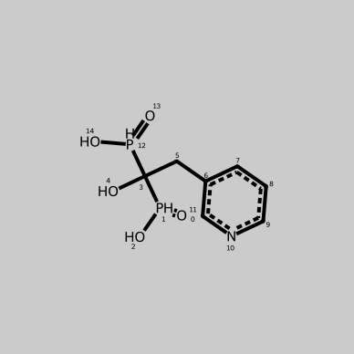 O=[PH](O)C(O)(Cc1cccnc1)[PH](=O)O